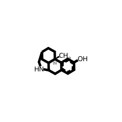 C[C@@]12CCC3CNC(Cc4ccc(O)cc41)C2C3